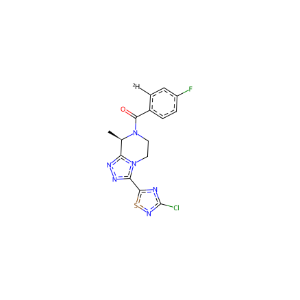 [2H]c1cc(F)ccc1C(=O)N1CCn2c(-c3nc(Cl)ns3)nnc2[C@H]1C